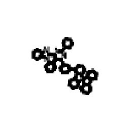 c1ccc(-c2nc(-c3cccc(-c4cccc5c4-c4ccccc4C54c5ccccc5-c5ccccc54)c3)c3c4ccccc4n4c5ccccc5nc4c3n2)cc1